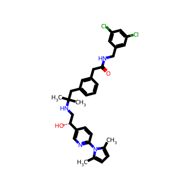 Cc1ccc(C)n1-c1ccc([C@H](O)CNC(C)(C)Cc2cccc(CC(=O)NCc3cc(Cl)cc(Cl)c3)c2)cn1